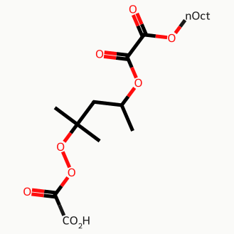 CCCCCCCCOC(=O)C(=O)OC(C)CC(C)(C)OOC(=O)C(=O)O